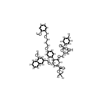 COc1ccccc1COCCCOc1ccc([C@@H]2[C@@H](OCc3cc(OC)c4ccccc4c3)CN(C(=O)OC(C)(C)C)C[C@H]2OC[C@H](CO)OS(=O)(=O)c2ccc(C)cc2)cc1